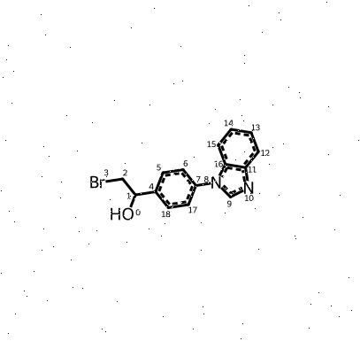 OC(CBr)c1ccc(-n2cnc3ccccc32)cc1